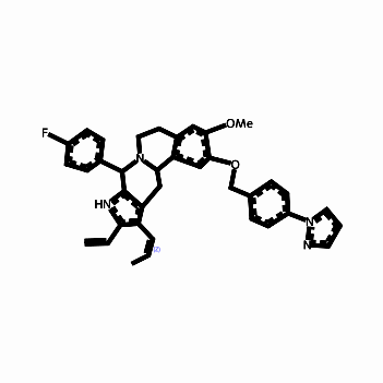 C=Cc1[nH]c2c(c1/C=C\C)CC1c3cc(OCc4ccc(-n5cccn5)cc4)c(OC)cc3CCN1C2c1ccc(F)cc1